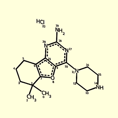 CC1(C)CCCc2c1oc1c(N3CCNCC3)nc(N)nc21.Cl